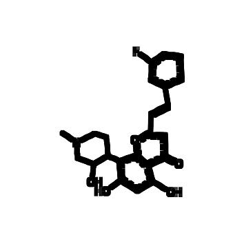 CN1CCC(c2c(O)cc(O)c3c(=O)cc(C=Cc4cccc(F)c4)oc23)C(O)C1